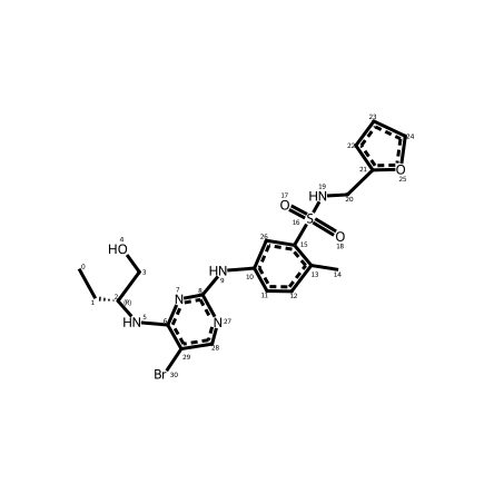 CC[C@H](CO)Nc1nc(Nc2ccc(C)c(S(=O)(=O)NCc3ccco3)c2)ncc1Br